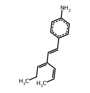 C/C=C\C(C=Cc1ccc(N)cc1)=C/CC